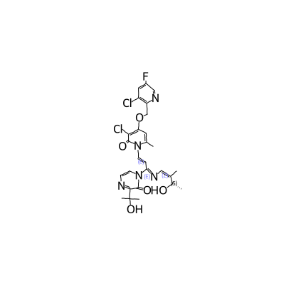 C/C(=C/N=C(\C=C\n1c(C)cc(OCc2ncc(F)cc2Cl)c(Cl)c1=O)n1ccnc(C(C)(C)O)c1=O)[C@H](C)O